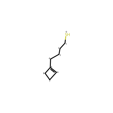 SCCCCC1=CCC1